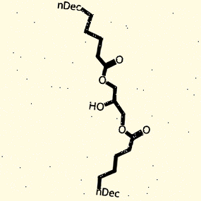 CCCCCCCCCCCCCCC(=O)OCC(O)COC(=O)CCCCCCCCCCCCCC